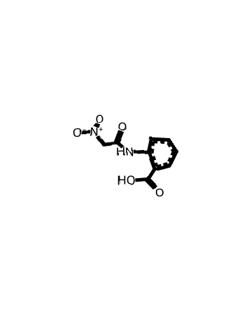 O=C(C[N+](=O)[O-])Nc1ccccc1C(=O)O